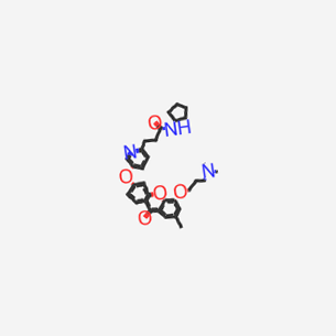 Cc1cc(OCCCN(C)C)c2oc3cc(Oc4ccc(CCC(=O)NC5CCCC5)nc4)ccc3c(=O)c2c1